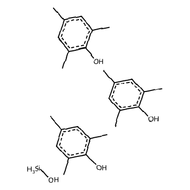 Cc1cc(C)c(O)c(C)c1.Cc1cc(C)c(O)c(C)c1.Cc1cc(C)c(O)c(C)c1.O[SiH3]